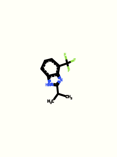 CC(C)c1nc2c(C(F)(F)F)cccc2[nH]1